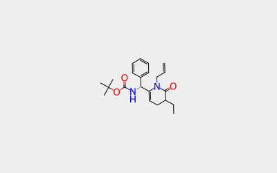 C=CCN1C(=O)C(CC)CC=C1[C@H](NC(=O)OC(C)(C)C)c1ccccc1